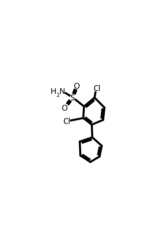 NS(=O)(=O)c1c(Cl)ccc(-c2ccccc2)c1Cl